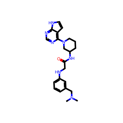 CN(C)Cc1cccc(NCC(=O)NC2CCCN(c3ncnc4[nH]ccc34)C2)c1